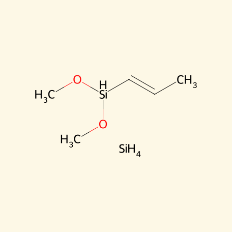 CC=C[SiH](OC)OC.[SiH4]